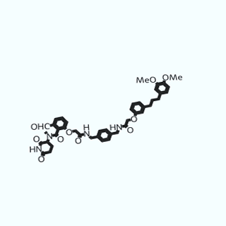 COc1ccc(CCCc2cccc(OCC(=O)NCc3ccc(CNC(=O)COc4cccc(C=O)c4C(=O)N(C)C4CCC(=O)NC4=O)cc3)c2)cc1OC